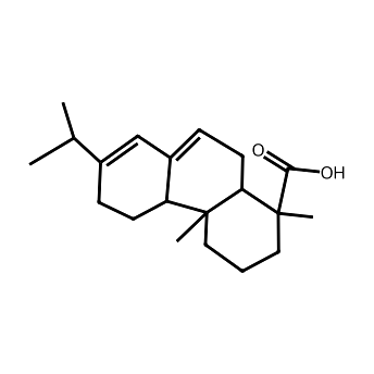 CC(C)C1=CC2=CCC3C(C)(C(=O)O)CCCC3(C)C2CC1